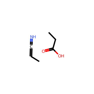 CC=C=N.CCC(=O)O